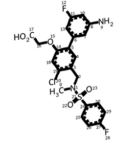 CN(Cc1cc(-c2cc(N)cc(F)c2)c(OCC(=O)O)cc1Cl)S(=O)(=O)c1ccc(F)cc1